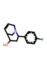 OC1CC(c2ccc(F)cc2)N2CC=CC1C2